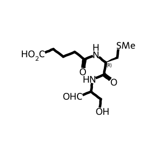 CSC[C@H](NC(=O)CCCC(=O)O)C(=O)NC(C=O)CO